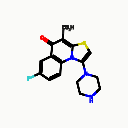 O=C(O)c1c(=O)c2cc(F)ccc2n2c(N3CCNCC3)csc12